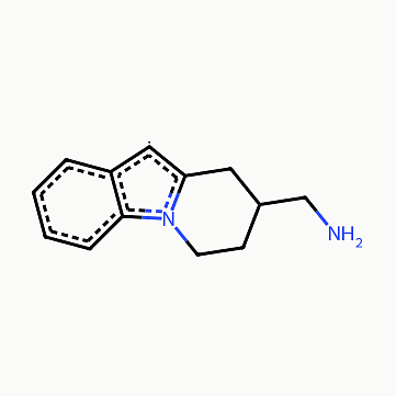 NCC1CCn2c([c]c3ccccc32)C1